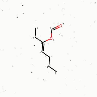 CCCC=C(CC)O[C]=O